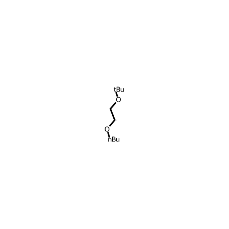 CCCCO[CH]COC(C)(C)C